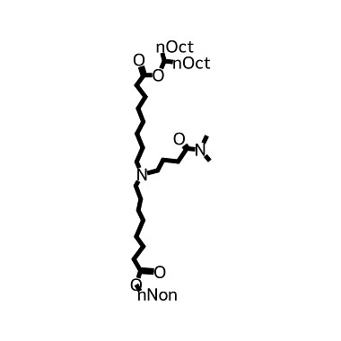 CCCCCCCCCOC(=O)CCCCCCCN(CCCCCCCC(=O)OC(CCCCCCCC)CCCCCCCC)CCCC(=O)N(C)C